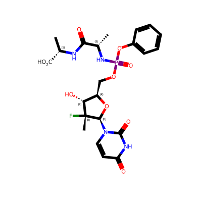 C[C@H](NC(=O)[C@H](C)NP(=O)(OC[C@H]1O[C@@H](n2ccc(=O)[nH]c2=O)[C@](C)(F)[C@@H]1O)Oc1ccccc1)C(=O)O